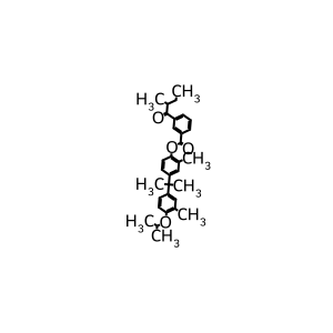 CCC(C)C(=O)c1cccc(C(=O)Oc2ccc(C(C)(C)c3ccc(OC(C)C)c(C)c3)cc2C)c1